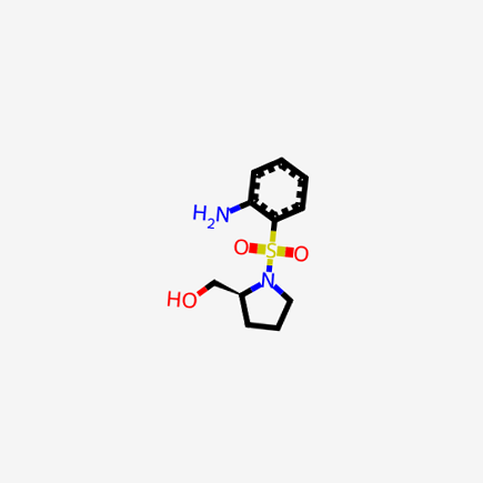 Nc1ccccc1S(=O)(=O)N1CCC[C@H]1CO